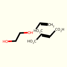 C=CC(=O)O.O=C(O)C=CC(=O)O.OCCO